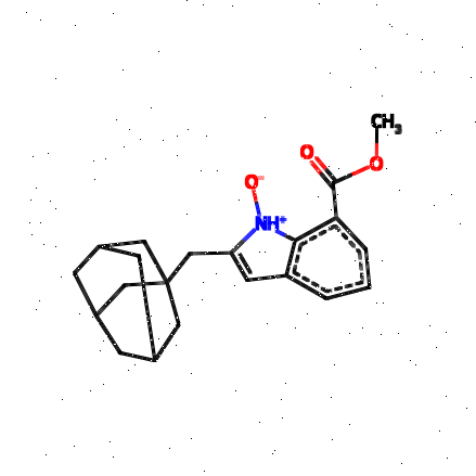 COC(=O)c1cccc2c1[NH+]([O-])C(CC13CC4CC(CC(C4)C1)C3)=C2